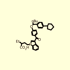 CCCCC(Oc1ccc(C(=O)c2cn(CCC(CC)C(=O)O)c3ccccc23)cc1)c1ccc(C2CCCCC2)cc1